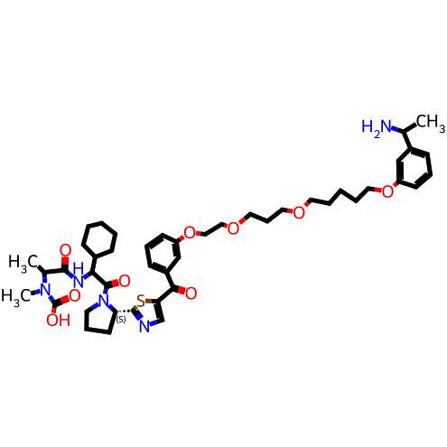 CC(N)c1cccc(OCCCCCOCCCOCCOc2cccc(C(=O)c3cnc([C@@H]4CCCN4C(=O)C(NC(=O)C(C)N(C)C(=O)O)C4CCCCC4)s3)c2)c1